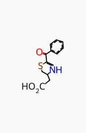 O=C(O)CC1CSC(C(=O)c2ccccc2)=CN1